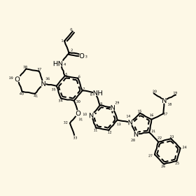 C=CC(=O)Nc1cc(Nc2nccc(-n3cc(CN(C)C)c(-c4ccccc4)n3)n2)c(OCC)cc1N1CCOCC1